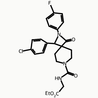 CCOC(=O)CNC(=O)N1CCC2(CC1)C(=O)N(c1ccc(F)cc1)C2c1ccc(Cl)cc1